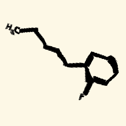 CCCC[CH]c1ccccc1F